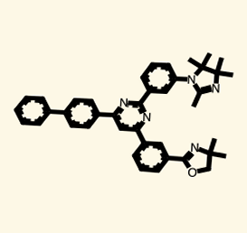 CC1=NC(C)(C)C(C)(C)N1c1cccc(-c2nc(-c3ccc(-c4ccccc4)cc3)cc(-c3cccc(C4=NC(C)(C)CO4)c3)n2)c1